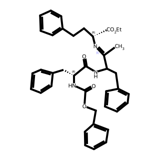 CCOC(=O)[C@@H](CCc1ccccc1)/N=C(\C)C(Cc1ccccc1)NC(=O)[C@@H](Cc1ccccc1)NC(=O)OCc1ccccc1